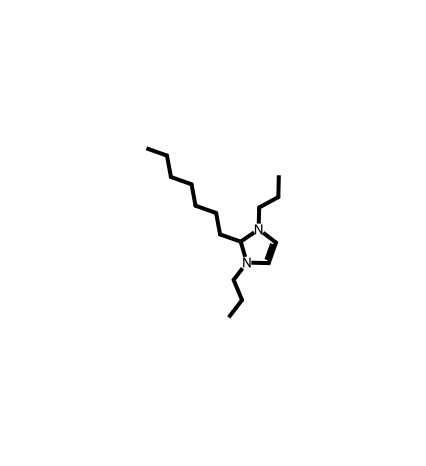 CCCCCCCC1N(CCC)C=CN1CCC